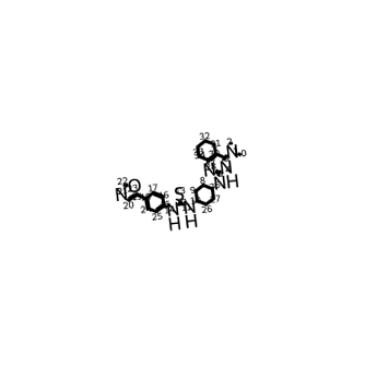 CN(C)c1nc(N[C@H]2CC[C@@H](NC(=S)Nc3ccc(-c4cnco4)cc3)CC2)nc2c1CCCC2